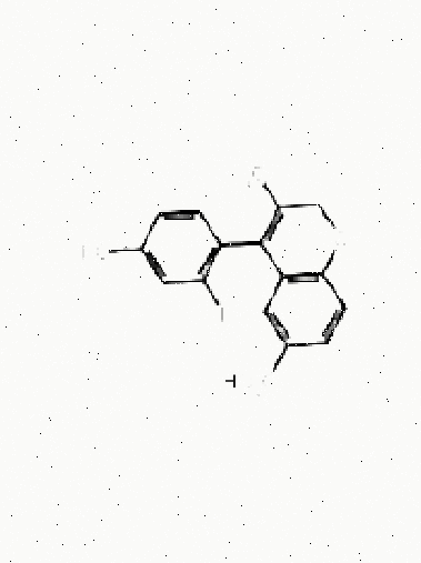 CC1=C(c2ccc(C)cc2F)c2cc(C(=O)O)ccc2OC1